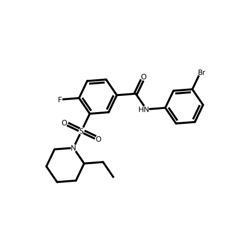 CCC1CCCCN1S(=O)(=O)c1cc(C(=O)Nc2cccc(Br)c2)ccc1F